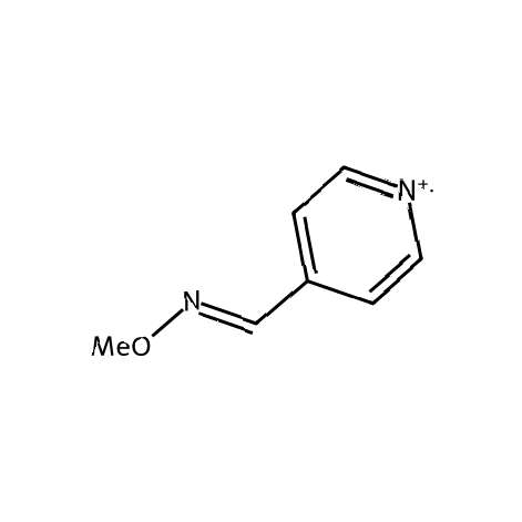 CON=CC1=CC=[N+]C=C1